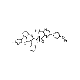 CC(C)Oc1ccc(-c2cnc(N)c(C(=O)NC(C)c3nc4cccc(-c5cnn(C)c5)c4c(=O)n3-c3ccccc3)n2)cc1